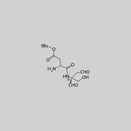 CC(C)(C)OC(=O)CC(N)C(=O)N[C@@](C=O)(CO)CC=O